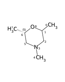 CC1CN(C)C[C@H](C)O1